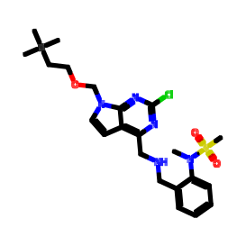 CN(c1ccccc1CNCc1nc(Cl)nc2c1ccn2COCC[Si](C)(C)C)S(C)(=O)=O